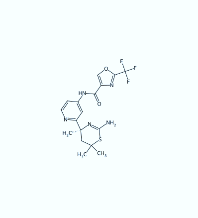 CC1(C)C[C@@](C)(c2cc(NC(=O)c3coc(C(F)(F)F)n3)ccn2)N=C(N)S1